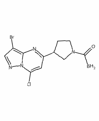 BC(=O)N1CCC(c2cc(Cl)n3ncc(Br)c3n2)C1